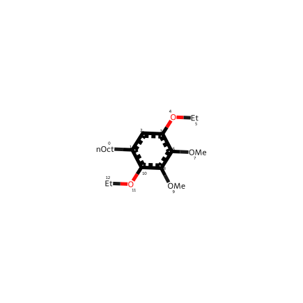 CCCCCCCCc1cc(OCC)c(OC)c(OC)c1OCC